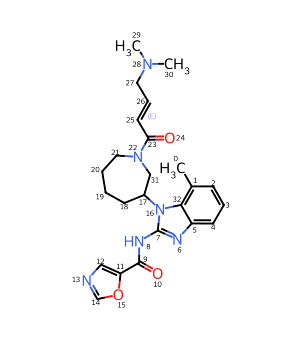 Cc1cccc2nc(NC(=O)c3cnco3)n(C3CCCCN(C(=O)/C=C/CN(C)C)C3)c12